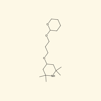 CC1(C)CC(OCCCOC2CCCCO2)CC(C)(C)N1